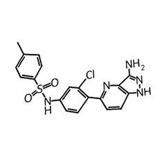 Cc1ccc(S(=O)(=O)Nc2ccc(-c3ccc4[nH]nc(N)c4n3)c(Cl)c2)cc1